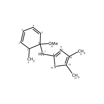 [CH2]C1C=CC=CC1(Nc1nc(C)c(C)s1)OC